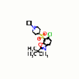 CC(C)(C)c1nc2ccc(Cl)c(S(=O)(=O)C3CCN(C4CCC4)CC3)c2o1